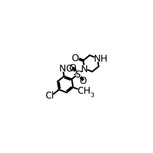 Cc1cc(Cl)cc([N+](=O)[O-])c1S(=O)(=O)N1CCNCC1=O